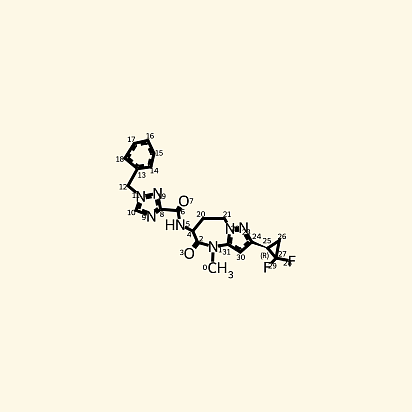 CN1C(=O)C(NC(=O)c2ncn(Cc3ccccc3)n2)CCn2nc([C@H]3CC3(F)F)cc21